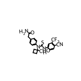 N#Cc1ccc(NC(=S)N(c2ccc(CC(N)=O)cc2)C2(C=O)CCC2)cc1C(F)(F)F